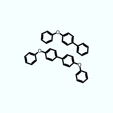 c1ccc(Oc2ccc(-c3ccc(Oc4ccccc4)cc3)cc2)cc1.c1ccc(Oc2ccc(-c3ccccc3)cc2)cc1